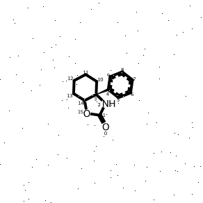 O=C1N[C@@]2(c3ccccc3)CCCCC2O1